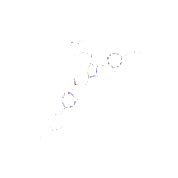 COc1c(Cl)cc(-c2nc(NC(=O)c3cnc(N4CCC(C(=O)O)CC4)cn3)sc2CN2CCC[C@H]2C)cc1Cl